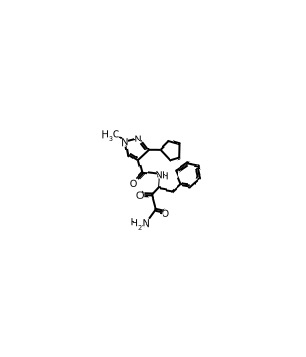 Cn1cc(C(=O)NC(Cc2ccccc2)C(=O)C(N)=O)c(C2CCCC2)n1